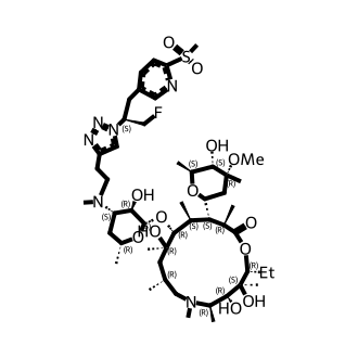 CC[C@H]1OC(=O)[C@H](C)[C@@H](C2C[C@@](C)(OC)[C@@H](O)[C@H](C)O2)[C@H](C)[C@@H](O[C@@H]2O[C@H](C)C[C@H](N(C)CCc3cn([C@H](CF)Cc4ccc(S(C)(=O)=O)nc4)nn3)[C@H]2O)[C@](C)(O)C[C@@H](C)CN(C)[C@H](C)[C@@H](O)[C@]1(C)O